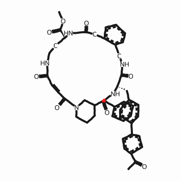 COC(=O)[C@@H]1CCNC(=O)/C=C/C(=O)N2CCC[C@](Cc3ccccc3)(C2)C(=O)N[C@@H](Cc2ccc(-c3ccc(C(C)=O)cc3)cc2)C(=O)NCc2ccccc2CC(=O)N1